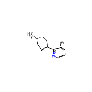 CC1CCC(c2ncccc2C(C)C)CC1